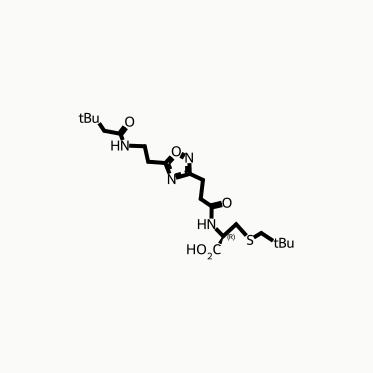 CC(C)(C)CSC[C@H](NC(=O)CCc1noc(CCNC(=O)CC(C)(C)C)n1)C(=O)O